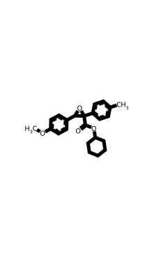 COc1ccc(C2OC2(C(=O)OC2CCCCC2)c2ccc(C)cc2)cc1